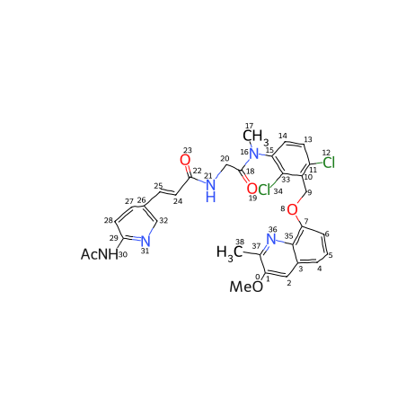 COc1cc2cccc(OCc3c(Cl)ccc(N(C)C(=O)CNC(=O)C=Cc4ccc(NC(C)=O)nc4)c3Cl)c2nc1C